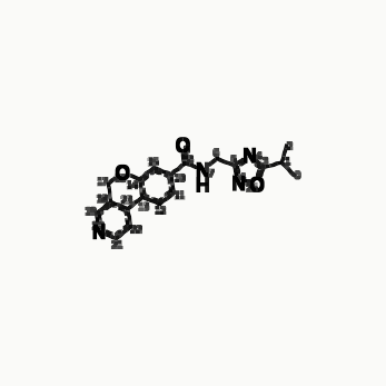 CC(C)c1nc(CNC(=O)c2ccc3c(c2)OCc2cnccc2-3)no1